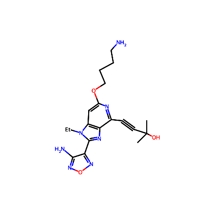 CCn1c(-c2nonc2N)nc2c(C#CC(C)(C)O)nc(OCCCCN)cc21